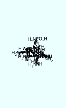 CC(=O)N[C@H](CSSC[C@H](N)C(=O)O)C(=O)N[C@H](C)C(=O)N[C@H](CCCNC(=N)N)C(=O)N[C@H](CCCNC(=N)N)C(=O)N[C@H](CCCNC(=N)N)C(=O)N[C@H](C)C(=O)N[C@H](CCCCC(=N)N)C(N)=O